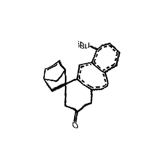 CCC(C)c1cccc2cc3c(cc12)C1(CC(=O)C3)CC2C=CC1C2